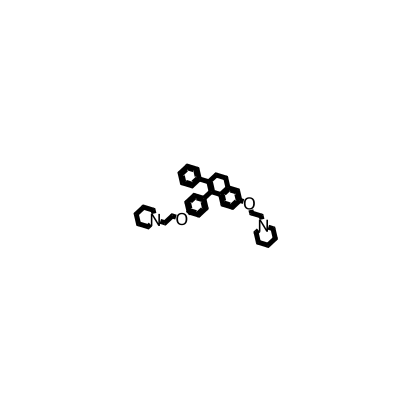 c1ccc(C2=C(c3ccc(OCCN4CCCCC4)cc3)c3ccc(OCCN4CCCCC4)cc3CC2)cc1